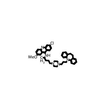 COc1ccc2nc3cc(Cl)ccc3c(NC(C)CCCN3CCN(CCCN4c5ccccc5CCc5ccccc54)CC3)c2c1